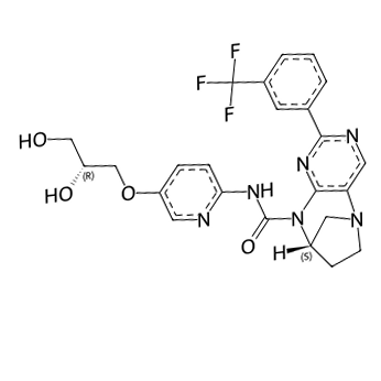 O=C(Nc1ccc(OC[C@H](O)CO)cn1)N1c2nc(-c3cccc(C(F)(F)F)c3)ncc2N2CC[C@H]1C2